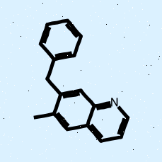 Cc1cc2cccnc2cc1Cc1ccccc1